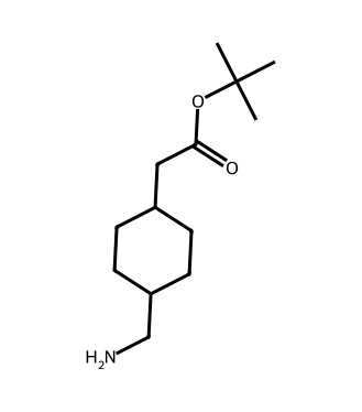 CC(C)(C)OC(=O)CC1CCC(CN)CC1